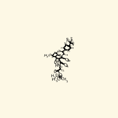 Cc1cc2c3c(c1)c(O)c(C(=O)NCC(=O)OC(C)(C)C)c(=O)n3CC(c1ccc(C(F)(F)F)cc1)O2